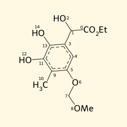 CCOC(=O)C(O)c1cc(OCOC)c(C)c(O)c1O